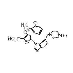 C[C@@H](Oc1cc(-n2cnc3ccc(CN4CCNCC4)cc32)sc1C(=O)O)c1ccccc1Cl